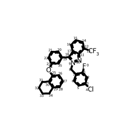 Fc1cc(Cl)ccc1Cn1nc2c(C(F)(F)F)cccc2c1-c1cccc(Oc2cccc3c2CCCC3)c1